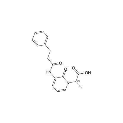 C[C@@H](C(=O)O)n1cccc(NC(=O)CCc2ccccc2)c1=O